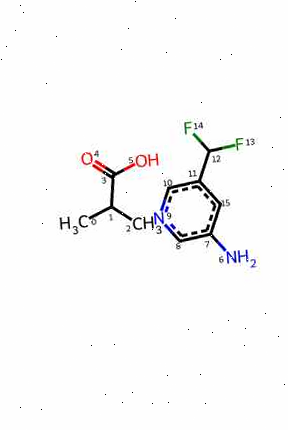 CC(C)C(=O)O.Nc1cncc(C(F)F)c1